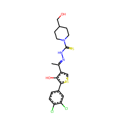 C/C(=N\NC(=S)N1CCC(CO)CC1)c1csc(-c2ccc(Cl)c(Cl)c2)c1O